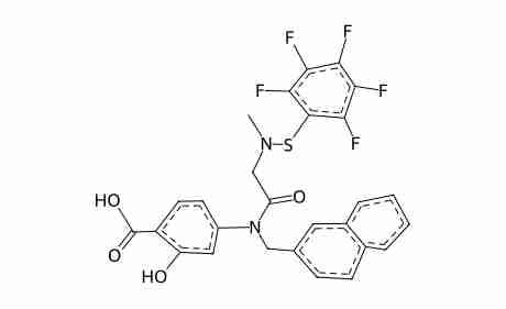 CN(CC(=O)N(Cc1ccc2ccccc2c1)c1ccc(C(=O)O)c(O)c1)Sc1c(F)c(F)c(F)c(F)c1F